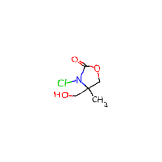 CC1(CO)COC(=O)N1Cl